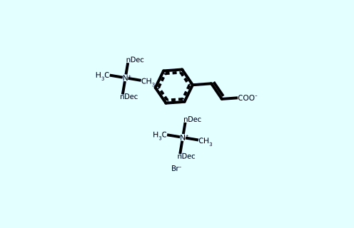 CCCCCCCCCC[N+](C)(C)CCCCCCCCCC.CCCCCCCCCC[N+](C)(C)CCCCCCCCCC.O=C([O-])C=Cc1ccccc1.[Br-]